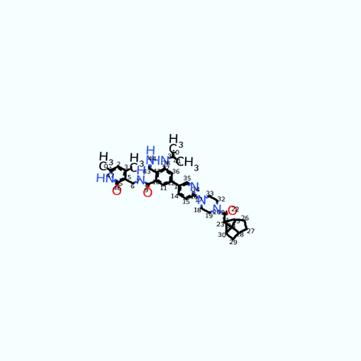 Cc1cc(C)c(CNC(=O)c2cc(-c3ccc(N4CCN(C(=O)CC56C7CCC5CC6C7)CC4)nc3)cc(NC(C)C)c2C=N)c(=O)[nH]1